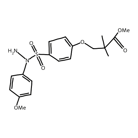 COC(=O)C(C)(C)COc1ccc(S(=O)(=O)N(N)c2ccc(OC)cc2)cc1